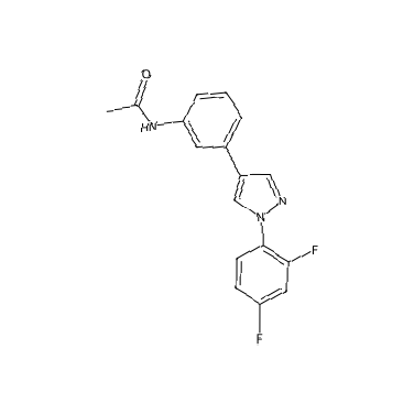 CC(=O)Nc1cccc(-c2cnn(-c3ccc(F)cc3F)c2)c1